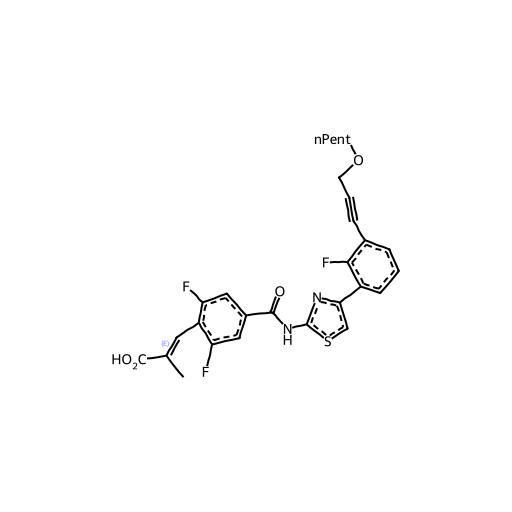 CCCCCOCC#Cc1cccc(-c2csc(NC(=O)c3cc(F)c(/C=C(\C)C(=O)O)c(F)c3)n2)c1F